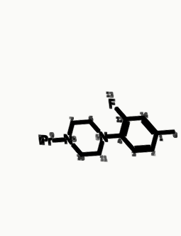 Cc1ccc(N2CCN(C(C)C)CC2)c(F)c1